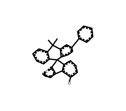 CC1(C)c2ccccc2C2(c3ccccc3-c3c(Cl)cccc32)c2ccc(-c3ccccc3)cc21